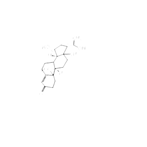 CC(O)[C@H]1C[C@@H](O)[C@H]2C3CCC4=CC(=O)CCC4(C)[C@H]3CCC12C